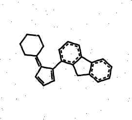 [CH]1c2ccccc2-c2cccc(C3=CC=CC3=C3CCCCC3)c21